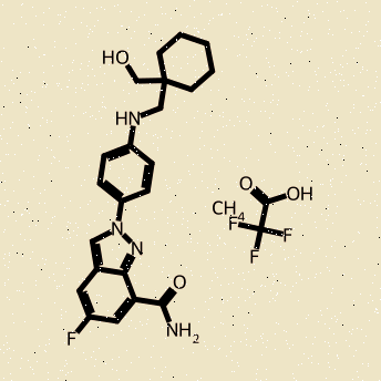 C.NC(=O)c1cc(F)cc2cn(-c3ccc(NCC4(CO)CCCCC4)cc3)nc12.O=C(O)C(F)(F)F